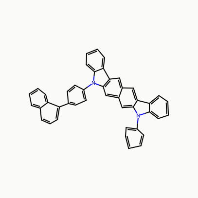 c1ccc(-n2c3ccccc3c3cc4cc5c6ccccc6n(-c6ccc(-c7cccc8ccccc78)cc6)c5cc4cc32)cc1